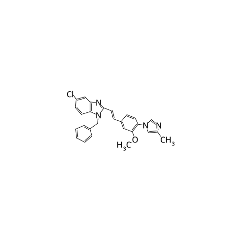 COc1cc(C=Cc2nc3cc(Cl)ccc3n2Cc2ccccc2)ccc1-n1cnc(C)c1